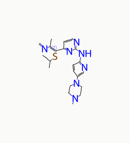 C=N/C(C)=C(\SC(C)C)c1ccnc(Nc2ccc(N3CCN(C)CC3)cn2)n1